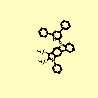 Cc1c(C)n(-c2ccccc2)c2cc3c4ccccc4n(-c4cc(-c5ccccc5)cc(-c5ccccc5)n4)c3cc12